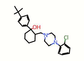 CC(C)(C)c1ccc(C2(O)CCCCC2CN2CCN(c3ccccc3Cl)CC2)cc1